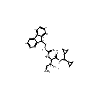 C=C[C@H](C)C(NC(=O)OCC1c2ccccc2-c2ccccc21)C(=O)OC(C1CC1)C1CC1